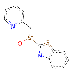 [O-][S+](Cc1ccccn1)c1nc2ccccc2s1